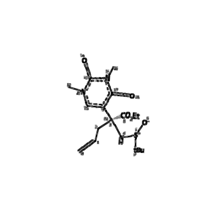 C=CC[C@@](N[S+]([O-])C(C)(C)C)(C(=O)OCC)c1cn(C)c(=O)n(C)c1=O